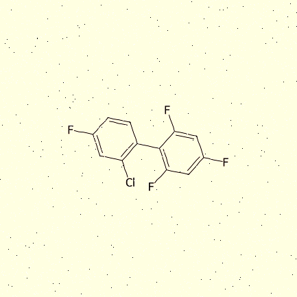 Fc1cc(F)c(-c2ccc(F)cc2Cl)c(F)c1